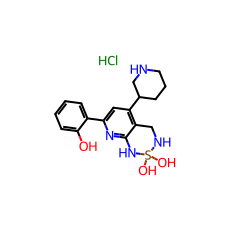 Cl.Oc1ccccc1-c1cc(C2CCCNC2)c2c(n1)NS(O)(O)NC2